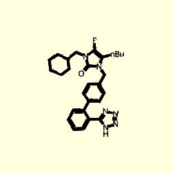 CCCCc1c(F)n(CC2CCCCC2)c(=O)n1Cc1ccc(-c2ccccc2-c2nnn[nH]2)cc1